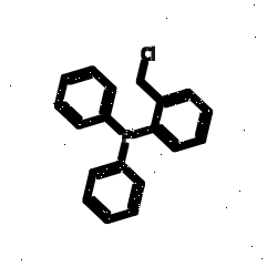 ClCc1ccccc1P(c1ccccc1)c1ccccc1